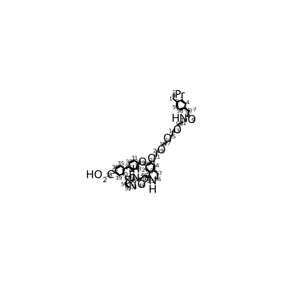 CC(C)Cc1ccc([C@H](C)C(=O)NCCOCCOCCOCCOc2cc3c(cc2Oc2ccc(-c4ccc(C(=O)O)cc4)c(F)c2)[C@@](C)(CC(=O)Nc2nccs2)NCC3)cc1